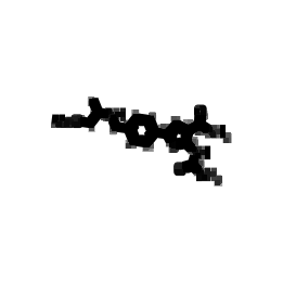 COCC(C)NCc1ccc(-c2cc(C(N)=O)c(NC(N)=O)s2)cc1